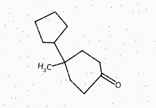 CC1(C2CCCC2)CCC(=O)CC1